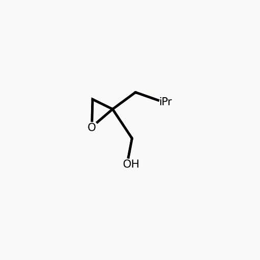 CC(C)CC1(CO)CO1